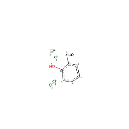 O=Cc1ccccc1O.[Cl-].[Cl-].[Cl-].[Ti+3]